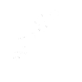 NS(=O)(=O)OC[C@H]1C[C@@H](n2cnc3c(-c4ccccc4)ncnc32)C[C@@H]1O